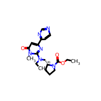 CCOC(=O)N1CCC[C@@H]1CN(CC)c1nc(-c2ccncn2)cc(=O)n1C